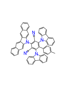 Cc1ccc(-c2c(-n3c4ccccc4c4ccccc43)c(C#N)c(-n3c4cc5ccccc5cc4c4cc5ccccc5cc43)c(C#N)c2-n2c3ccccc3c3ccccc32)cc1